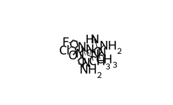 CCC[C@H](Nc1nc(C)nc(N)c1C#N)c1nc2ccc(F)c(Cl)c2c(=O)n1-c1ccc(N)nc1